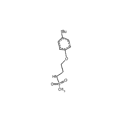 CC(C)(C)c1ccc(OCCNS(C)(=O)=O)cc1